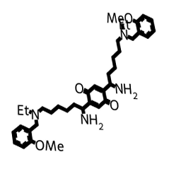 CCN(CCCCCC(N)C1=CC(=O)C(C(N)CCCCCN(CC)Cc2ccccc2OC)=CC1=O)Cc1ccccc1OC